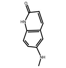 CNc1ccc2[nH]c(=O)ccc2c1